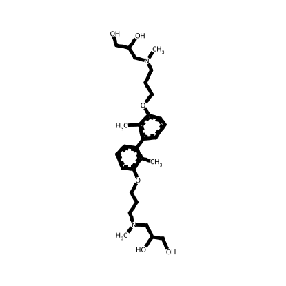 Cc1c(OCCCN(C)CC(O)CO)cccc1-c1cccc(OCCCN(C)CC(O)CO)c1C